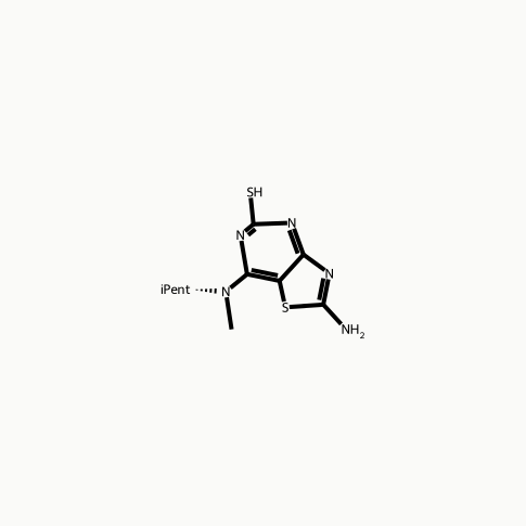 CCC[C@@H](C)N(C)c1nc(S)nc2nc(N)sc12